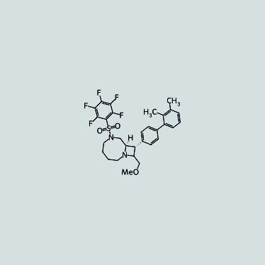 COCC1[C@@H](c2ccc(-c3cccc(C)c3C)cc2)[C@@H]2CN(S(=O)(=O)c3c(F)c(F)c(F)c(F)c3F)CCCCN12